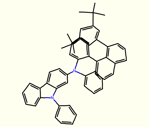 CC(C)(C)c1cc(-c2cccc3cccc(-c4ccccc4N(c4ccccc4)c4ccc5c6ccccc6n(-c6ccccc6)c5c4)c23)cc(C(C)(C)C)c1